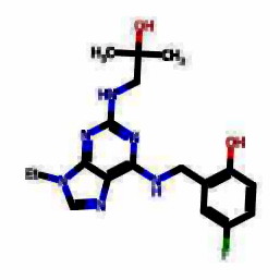 CCn1cnc2c(NCc3cc(F)ccc3O)nc(NCC(C)(C)O)nc21